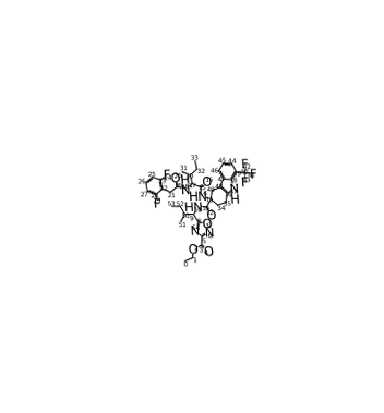 CCOC(=O)c1noc(C(NC(=O)[C@@]2(NC(=O)[C@@H](NC(=O)Cc3c(F)cccc3F)[C@@H](C)CC)CCc3[nH]c4c(C(F)(F)F)cccc4c3C2)C(C)CC)n1